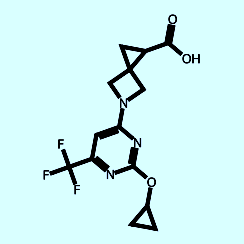 O=C(O)C1CC12CN(c1cc(C(F)(F)F)nc(OC3CC3)n1)C2